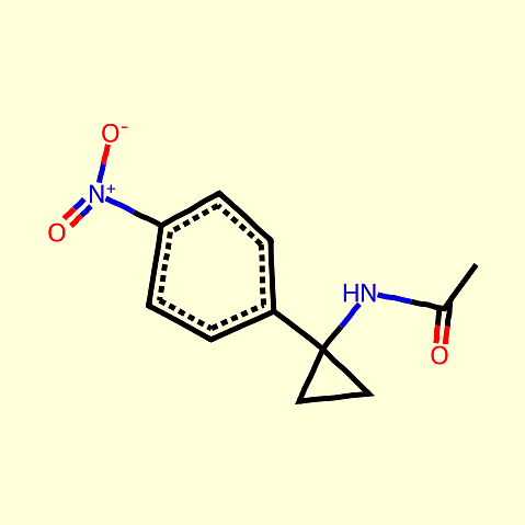 CC(=O)NC1(c2ccc([N+](=O)[O-])cc2)CC1